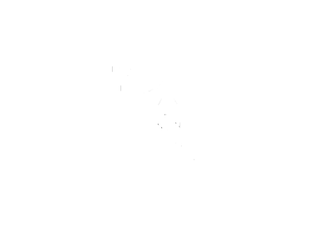 CC(CS(=O)(=O)c1ccc2c(c1)nc(C(C)(C)C)n2CC1CCOCC1)C(=O)O